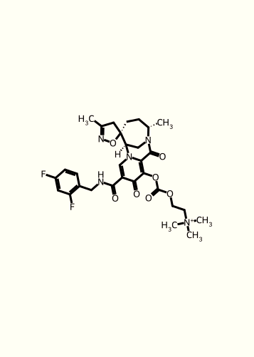 CC1=NO[C@@]2(CC[C@H](C)N3C[C@H]2n2cc(C(=O)NCc4ccc(F)cc4F)c(=O)c(OC(=O)OCC[N+](C)(C)C)c2C3=O)C1